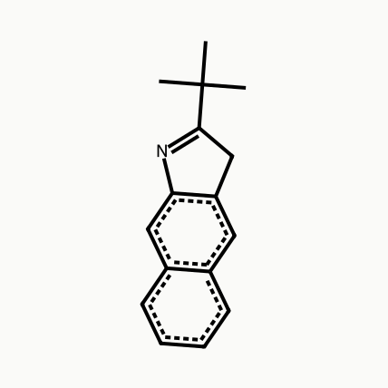 CC(C)(C)C1=Nc2cc3ccccc3cc2C1